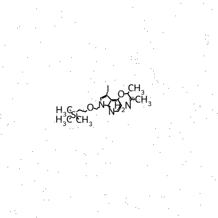 CC(Oc1ccnc2c1c(I)cn2COCC[Si](C)(C)C)[C@@H](C)N